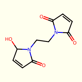 O=C1C=CC(=O)N1CCN1C(=O)C=CC1O